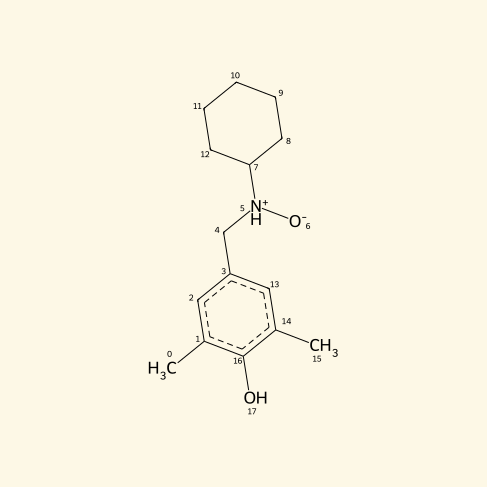 Cc1cc(C[NH+]([O-])C2CCCCC2)cc(C)c1O